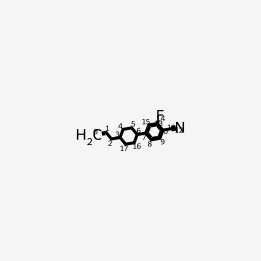 C=CCC1CCC(c2ccc(C#N)c(F)c2)CC1